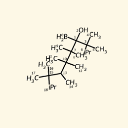 BC(O)(C(C)(C)C(C)C)C(C)(C)C(C)(C)C(C)C(C)(C)C(C)C